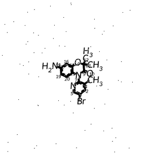 Cc1cc(Br)cnc1N1C(=O)C(C)(C)Oc2cc(N)ccc21